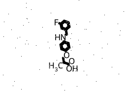 CC(COc1ccc(NCc2cccc(F)c2)cc1)C(=O)O